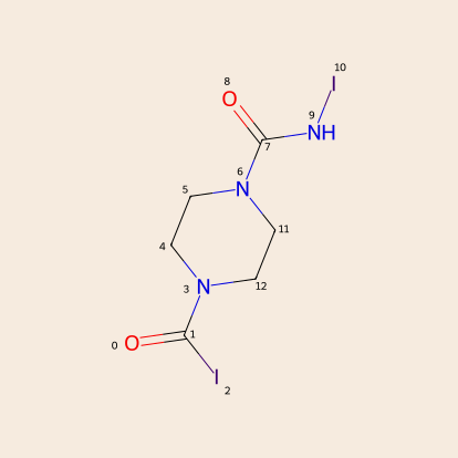 O=C(I)N1CCN(C(=O)NI)CC1